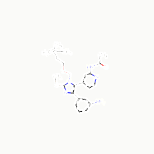 CSc1nc(-c2cccc(N)c2)c(-c2ccnc(NC(C)=O)c2)n1COCC[Si](C)(C)C